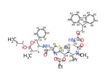 C=CCOC(=O)[C@@H](C)C[C@H](Cc1ccccc1)NC(=O)c1csc([C@@H](C[C@H](C(C)C)N(C)C(=O)[C@@H](NC(=O)OCC2c3ccccc3-c3ccccc32)[C@@H](C)CC)OC(=O)CC)n1